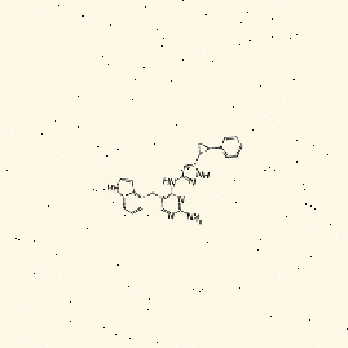 Nc1ncc(Cc2cccc3[nH]ccc23)c(Nc2cc(C3CC3c3ccccc3)[nH]n2)n1